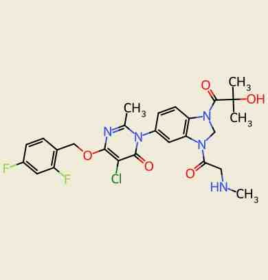 CNCC(=O)N1CN(C(=O)C(C)(C)O)c2ccc(-n3c(C)nc(OCc4ccc(F)cc4F)c(Cl)c3=O)cc21